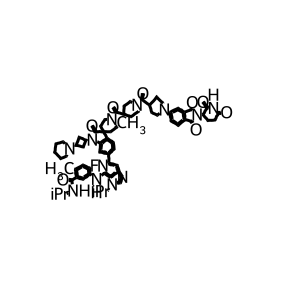 Cc1cc(F)c(Nc2nc(-c3ccc4c(c3)N([C@H]3C[C@@H](N5CCCCC5)C3)C(=O)C43CCN(C(=O)C4(C)CCN(C(=O)C5CCN(c6ccc7c(c6)C(=O)N(C6CCC(=O)NC6=O)C7=O)CC5)CC4)CC3)cc3ncn(C(C)C)c23)cc1C(=O)NC(C)C